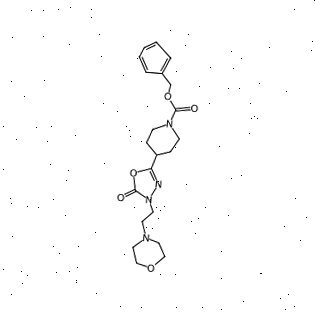 O=C(OCc1ccccc1)N1CCC(c2nn(CCN3CCOCC3)c(=O)o2)CC1